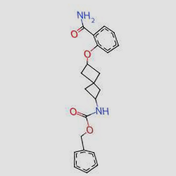 NC(=O)c1ccccc1OC1CC2(CC(NC(=O)OCc3ccccc3)C2)C1